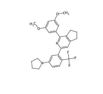 COc1cc(OC)cc(-c2nc(-c3cc(N4CCCC4)ccc3C(F)(F)F)cc3c2CCC3)c1